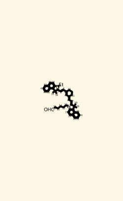 CC[N+]1=C(/C=C/C2=CC(=C/C=C3\N(CCCCCC=O)c4ccc5ccccc5c4C3(C)C)/CCC2)C(C)(C)c2c1ccc1ccccc21